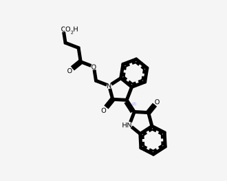 O=C(O)CCC(=O)OCN1C(=O)/C(=C2\Nc3ccccc3C2=O)c2ccccc21